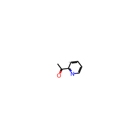 CC(=O)c1[c]cccn1